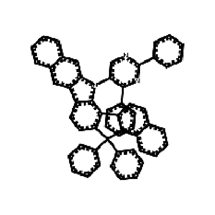 c1ccc(-c2ncc(-n3c4cc5ccccc5cc4c4ccc5c(c43)-c3ccc4ccccc4c3C5(c3ccccc3)c3ccccc3)c(-c3ccccc3)n2)cc1